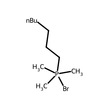 CCCCCCCP(C)(C)(C)Br